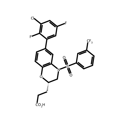 O=C(O)CC[C@H]1CN(S(=O)(=O)c2cccc(C(F)(F)F)c2)c2cc(-c3cc(F)cc(Cl)c3F)ccc2O1